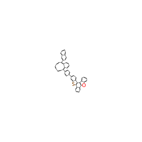 c1cccc(-c2ccc3ccccc3c2)c2ccccc2c(-c2ccc(-c3ccc4c(c3)sc3c5ccccc5c5oc6ccccc6c5c43)cc2)cc1